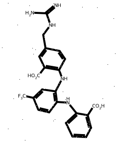 N=C(N)NCc1ccc(Nc2cc(C(F)(F)F)ccc2Nc2ccccc2C(=O)O)c(C(=O)O)c1